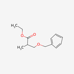 CCOC(=O)C(C)COCc1ccccc1